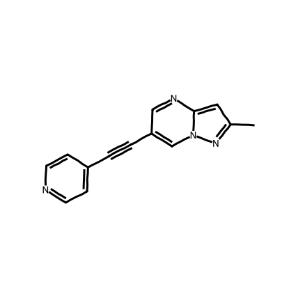 Cc1cc2ncc(C#Cc3ccncc3)cn2n1